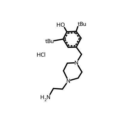 CC(C)(C)c1cc(CN2CCN(CCN)CC2)cc(C(C)(C)C)c1O.Cl